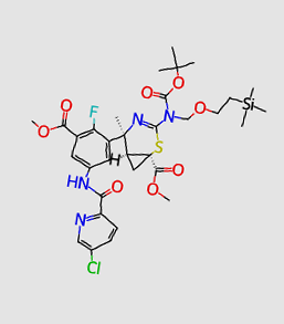 COC(=O)c1cc(NC(=O)c2ccc(Cl)cn2)cc([C@@]2(C)N=C(N(COCC[Si](C)(C)C)C(=O)OC(C)(C)C)S[C@@]3(C(=O)OC)C[C@H]32)c1F